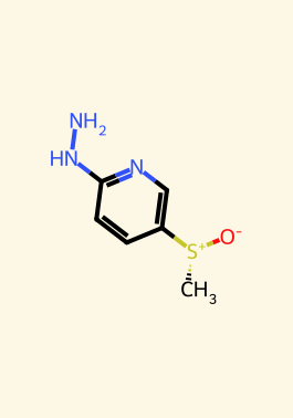 C[S@@+]([O-])c1ccc(NN)nc1